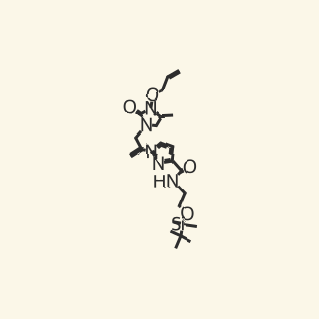 C=CCON1C(=O)N(CC(=C)n2ccc(C(=O)NCCO[Si](C)(C)C(C)(C)C)n2)CC1C